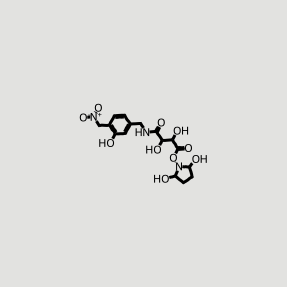 O=C(NCc1ccc(C[N+](=O)[O-])c(O)c1)C(O)C(O)C(=O)ON1C(O)CCC1O